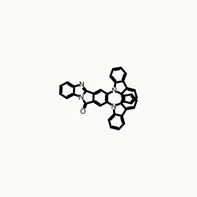 O=C1c2cc(-n3c4ccccc4c4ccccc43)c(-n3c4ccccc4c4ccccc43)cc2-c2nc3ccccc3n21